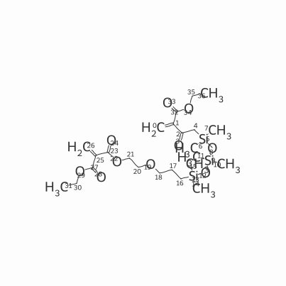 C=C(C(=O)C[Si](C)(C)O[Si](C)(C)O[Si](C)(C)CCCOCCOC(=O)C(=C)C(=O)OCC)C(=O)OCC